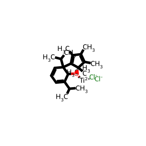 CC1=C(C)C(C)(C)C(C2(C(C)C)C=CC=C(C(C)C)C2[O][Ti+2])=C1C.[Cl-].[Cl-]